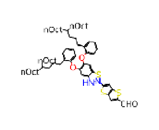 CCCCCCCCC(CCCCCCCC)CCCc1ccccc1Oc1cc2c(cc1Oc1ccccc1CCCC(CCCCCCCC)CCCCCCCC)SN(c1cc3sc(C=O)cc3s1)N2